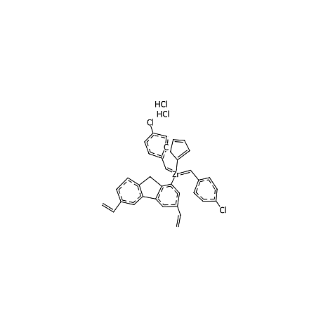 C=Cc1ccc2c(c1)-c1cc(C=C)c[c]([Zr](=[CH]c3ccc(Cl)cc3)(=[CH]c3ccc(Cl)cc3)[C]3=CC=CC3)c1C2.Cl.Cl